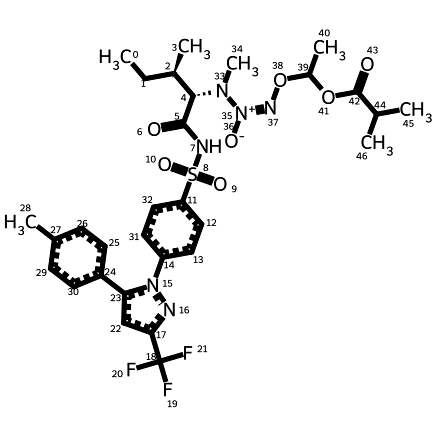 CC[C@@H](C)[C@@H](C(=O)NS(=O)(=O)c1ccc(-n2nc(C(F)(F)F)cc2-c2ccc(C)cc2)cc1)N(C)/[N+]([O-])=N\OC(C)OC(=O)C(C)C